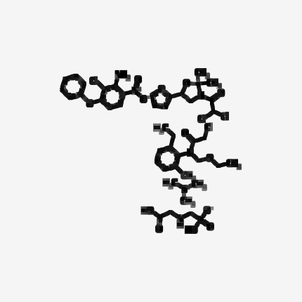 CC1(C)OC(c2ccco2)CN1C(=O)C(Cl)Cl.CCOCN(C(=O)CCl)c1c(C)cccc1CC.C[S+](C)C.Nc1c([N+](=O)[O-])ccc(Oc2ccccc2)c1Cl.O=C(O)CNCP(=O)([O-])O